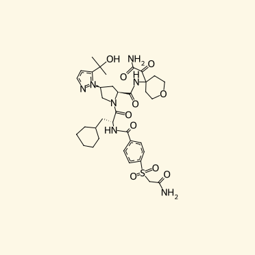 CC(C)(O)c1ccnn1[C@H]1C[C@@H](C(=O)NC2(C(=O)C(N)=O)CCOCC2)N(C(=O)[C@@H](CC2CCCCC2)NC(=O)c2ccc(S(=O)(=O)CC(N)=O)cc2)C1